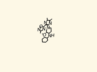 COC1CN(c2nc(C)c(C)nc2-c2nc(C)no2)CCC1NC1CCCCC1